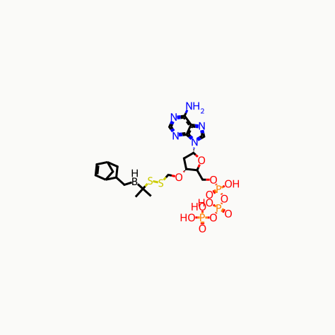 CC(C)(BCC1CC2C=CC1C2)SSCO[C@@H]1C[C@H](n2cnc3c(N)ncnc32)OC1COP(=O)(O)OP(=O)(O)OP(=O)(O)O